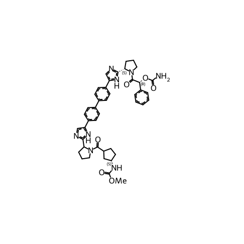 COC(=O)N[C@H]1CCC(C(=O)N2CCCC2c2ncc(-c3ccc(-c4ccc(-c5cnc([C@@H]6CCCN6C(=O)[C@H](OC(N)=O)c6ccccc6)[nH]5)cc4)cc3)[nH]2)C1